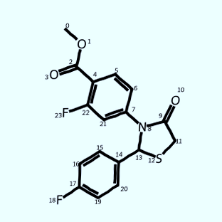 COC(=O)c1ccc(N2C(=O)CSC2c2ccc(F)cc2)cc1F